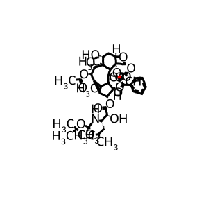 CC(=O)O[C@H]1C(=O)[C@@]2(C)C([C@H](OC(=O)c3ccccc3)[C@]34OC(=O)O[C@H]3[C@H](OC(=O)[C@H](O)[C@H](CC(C)C)NC(=O)OC(C)(C)C)C3=C1[C@@]34C)[C@]1(OC(C)=O)CO[C@@H]1C[C@H]2O